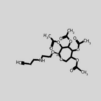 C#CCCNCCO[C@@H]1OCC(OC(C)=O)C(OC(C)=O)C(OC(C)=O)C1OC(C)=O